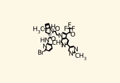 Cc1ncc(-c2cc3c(C(=O)C(F)(F)F)cn(CC(=O)N4[C@H](C(=O)Nc5nc(Br)ccc5C)C[C@@]5(C)C#C[C@@H]45)c3cn2)cn1